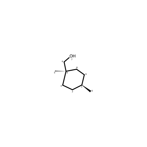 C[C@H]1CC[C@@](C)(CO)CC1